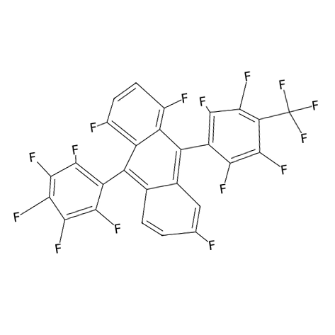 Fc1ccc2c(-c3c(F)c(F)c(F)c(F)c3F)c3c(F)ccc(F)c3c(-c3c(F)c(F)c(C(F)(F)F)c(F)c3F)c2c1